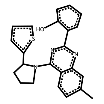 Cc1ccc2c(N3CCCC3c3cccs3)nc(-c3ccccc3O)nc2c1